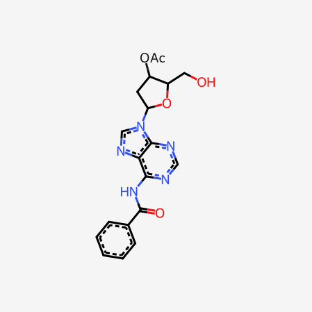 CC(=O)OC1CC(n2cnc3c(NC(=O)c4ccccc4)ncnc32)OC1CO